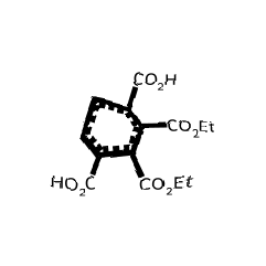 CCOC(=O)c1c(C(=O)O)ccc(C(=O)O)c1C(=O)OCC